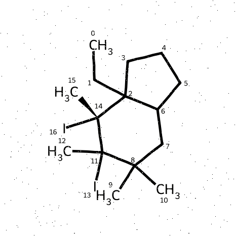 CCC12CCCC1CC(C)(C)C(C)(I)[C@]2(C)I